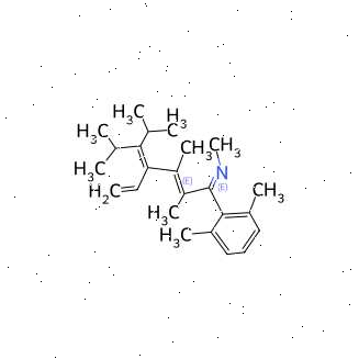 C=CC(=C(C(C)C)C(C)C)/C(C)=C(C)/C(=N\C)c1c(C)cccc1C